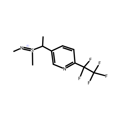 C/N=S(\C)C(C)c1ccc(C(F)(F)C(F)(F)F)nc1